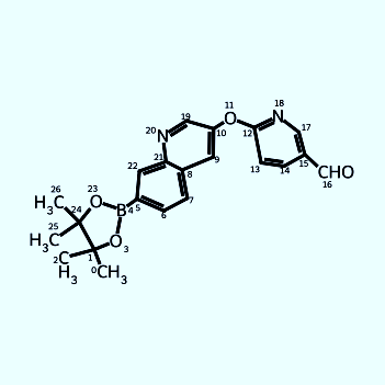 CC1(C)OB(c2ccc3cc(Oc4ccc(C=O)cn4)cnc3c2)OC1(C)C